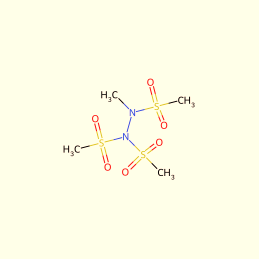 CN(N(S(C)(=O)=O)S(C)(=O)=O)S(C)(=O)=O